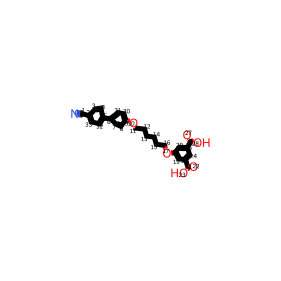 N#Cc1ccc(-c2ccc(OCCCCCCOc3cc(C(=O)O)cc(C(=O)O)c3)cc2)cc1